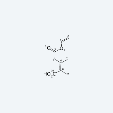 C=COC(=O)CC(C)=C(C)C(=O)O